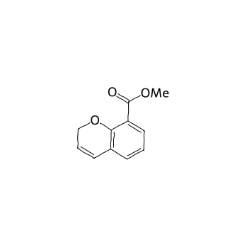 COC(=O)c1cccc2c1OCC=C2